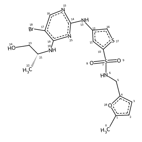 Cc1ccc(CNS(=O)(=O)c2cc(Nc3ncc(Br)c(N[C@H](C)CO)n3)cs2)o1